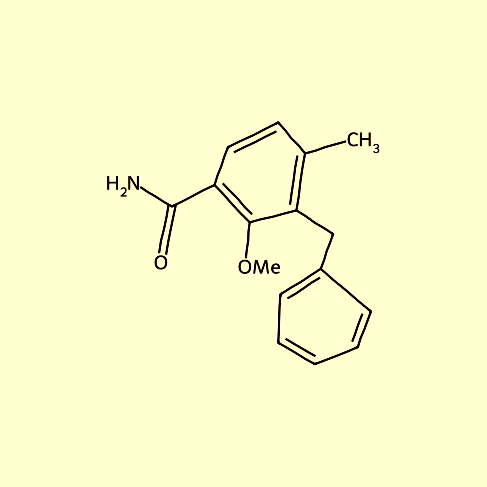 COc1c(C(N)=O)ccc(C)c1Cc1ccccc1